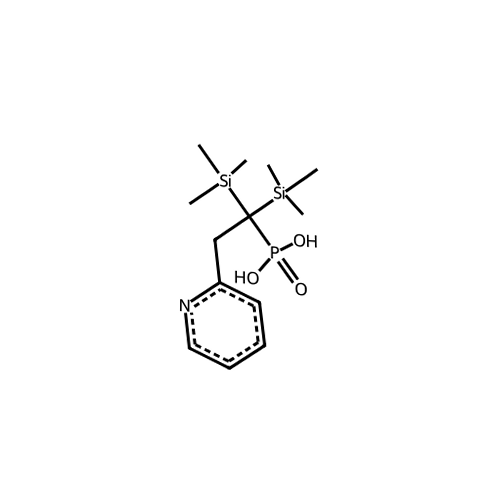 C[Si](C)(C)C(Cc1ccccn1)([Si](C)(C)C)P(=O)(O)O